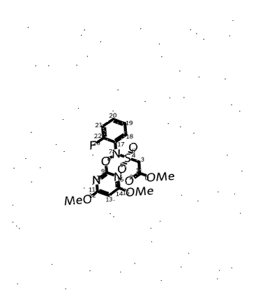 COC(=O)CS(=O)(=O)N(Oc1nc(OC)cc(OC)n1)c1ccccc1F